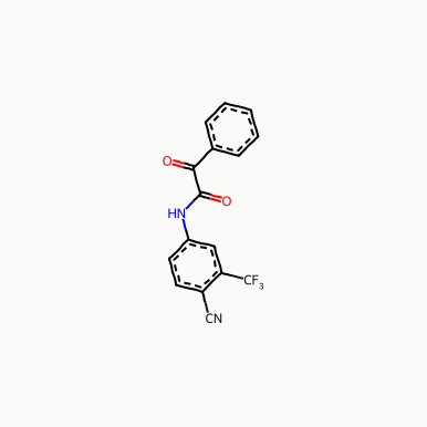 N#Cc1ccc(NC(=O)C(=O)c2ccccc2)cc1C(F)(F)F